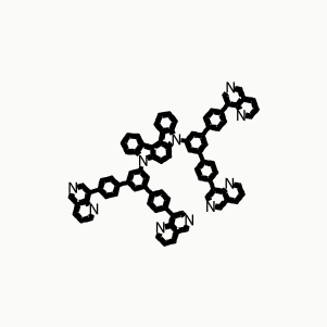 c1cnc2c(-c3ccc(-c4cc(-c5ccc(-c6cncc7cccnc67)cc5)cc(-n5c6ccccc6c6c7c8ccccc8n(-c8cc(-c9ccc(-c%10cncc%11cccnc%10%11)cc9)cc(-c9ccc(-c%10cncc%11cccnc%10%11)cc9)c8)c7ccc65)c4)cc3)cncc2c1